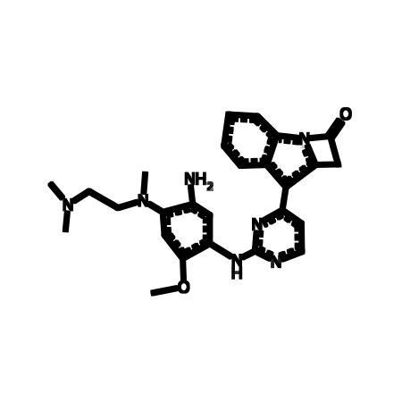 COc1cc(N(C)CCN(C)C)c(N)cc1Nc1nccc(-c2c3n(c4ccccc24)C(=O)C3)n1